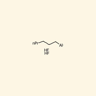 CCCCC[CH2][Al].F.F